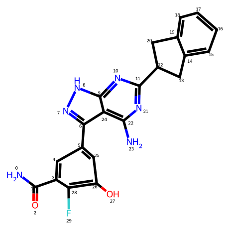 NC(=O)c1cc(-c2n[nH]c3nc(C4Cc5ccccc5C4)nc(N)c23)cc(O)c1F